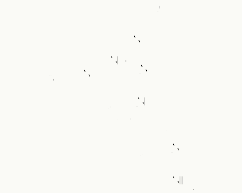 CC1COCCN1c1nc(N2CCOCC2)c2ccc(-c3ccc(N)nc3)nc2n1